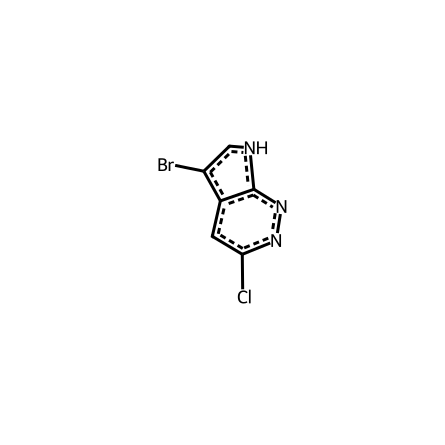 Clc1cc2c(Br)c[nH]c2nn1